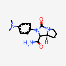 CN(C)c1ccc(N2C(=O)N3CC[CH][C@@H]3C2C(N)=O)cc1